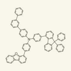 c1ccc(-c2cccc(-c3ccc(N(c4ccc(-c5cccc6c5-c5ccccc5C6(c5ccccc5)c5ccccc5)cc4)c4ccc(-c5cccc6c5oc5ccccc56)cc4)cc3)c2)cc1